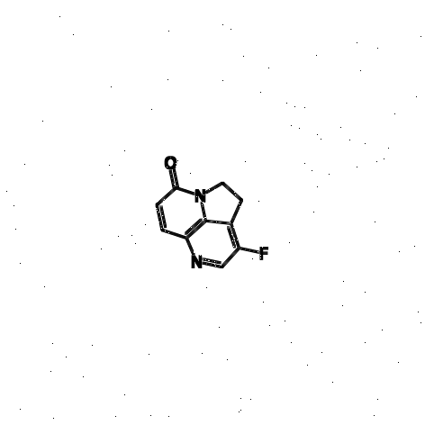 O=c1ccc2ncc(F)c3c2n1CC3